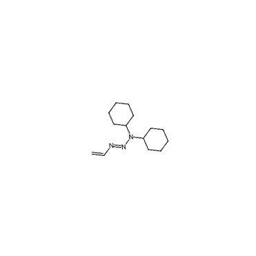 C=C/N=N/N(C1CCCCC1)C1CCCCC1